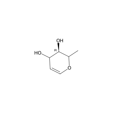 CC1OC=CC(O)[C@H]1O